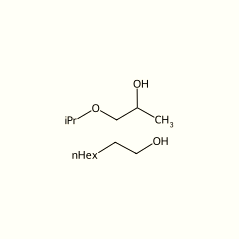 CC(O)COC(C)C.CCCCCCCCO